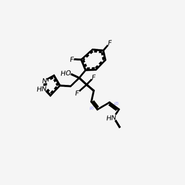 CN/C=C\C=C/CC(F)(F)C(O)(Cc1cn[nH]c1)c1ccc(F)cc1F